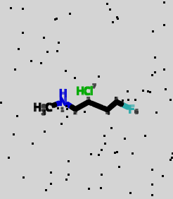 CNCCCCF.Cl